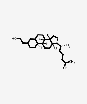 CC(C)CCC[C@@H](C)[C@H]1CC[C@H]2[C@@H]3CCC4CC(CCO)CC[C@]4(C)[C@H]3CC[C@]12C